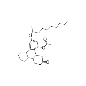 CCCCCCCCC(C)Oc1cc(OC(C)=O)c2c(c1)C1CCCCC1C1CCC(=O)CC21